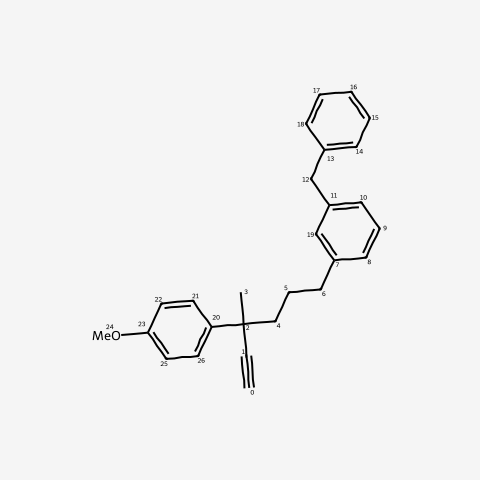 C#CC(C)(CCCc1cccc(Cc2ccccc2)c1)c1ccc(OC)cc1